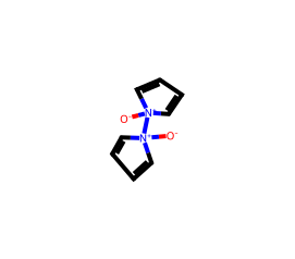 [O-][N+]1([N+]2([O-])C=CC=C2)C=CC=C1